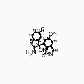 COc1cc(C2(O)C(N)=Nc3ccc(Cl)cc32)c2c(cnn2C)c1